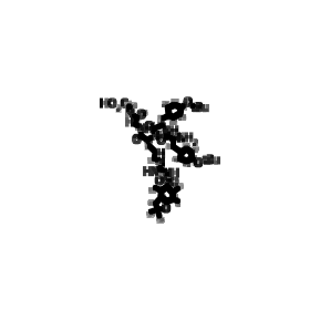 Cc1c(C)c(S(=O)(=O)NC(=N)NCCC[C@H](NC(=O)[C@H](Cc2ccc(OC(C)(C)C)cc2)NC(=O)[C@@H](N)Cc2ccc(OC(C)(C)C)cc2)C(=O)NCC(=O)NCC(=O)O)c(C)c2c1OC(C)(C)C2